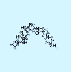 CN1CCN(c2cccc(C(=O)Nc3cnc4[nH]cc(/C=C5/N=C(NC6CC7CCC6C7)NC5=O)c4c3)c2)CC1